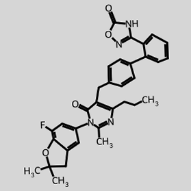 CCCc1nc(C)n(-c2cc(F)c3c(c2)CC(C)(C)O3)c(=O)c1Cc1ccc(-c2ccccc2-c2noc(=O)[nH]2)cc1